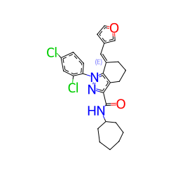 O=C(NC1CCCCCC1)c1nn(-c2ccc(Cl)cc2Cl)c2c1CCC/C2=C\c1ccoc1